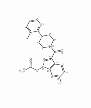 Cc1cccnc1N1CCN(C(=O)c2cn(CC(N)=O)c3cc(Cl)ccc23)CC1